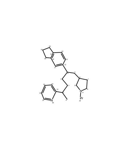 CC(CCC(CC1CCN(C(C)C)C1)c1ccc2c(c1)CCC2)c1ccccn1